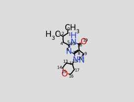 CCC(C)Cc1nc2c(cnn2C2CCOCC2)c(=O)[nH]1